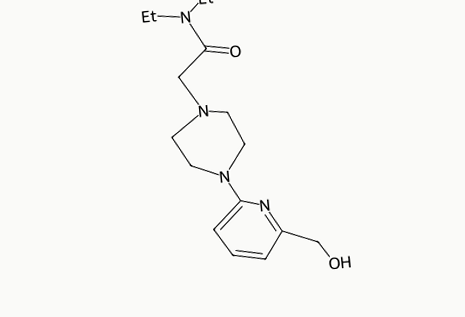 CCN(CC)C(=O)CN1CCN(c2cccc(CO)n2)CC1